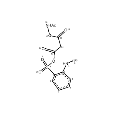 CCCNc1ccccc1S(=O)(=O)OC(=O)CC(=O)ONC(C)=O